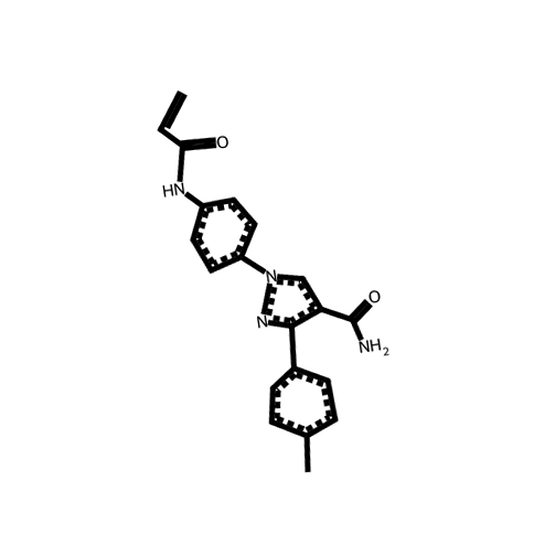 C=CC(=O)Nc1ccc(-n2cc(C(N)=O)c(-c3ccc(C)cc3)n2)cc1